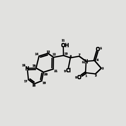 O=C1CCC(=O)N1CC(Cl)C(O)c1ccc2ncccc2c1